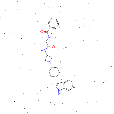 O=C(CNC(=O)c1ccccc1)NC1CN([C@H]2CC[C@@H](c3c[nH]c4ccccc43)CC2)C1